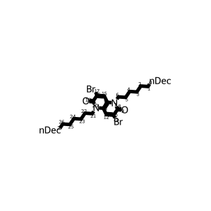 CCCCCCCCCCCCCCCCn1c(=O)c(Br)cc2c1cc(Br)c(=O)n2CCCCCCCCCCCCCCCC